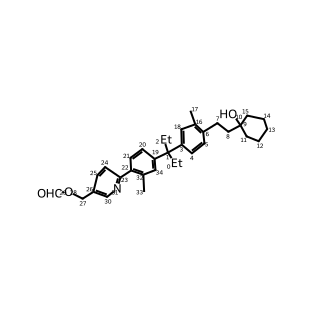 CCC(CC)(c1ccc(CCC2(O)CCCCC2)c(C)c1)c1ccc(-c2ccc(COC=O)cn2)c(C)c1